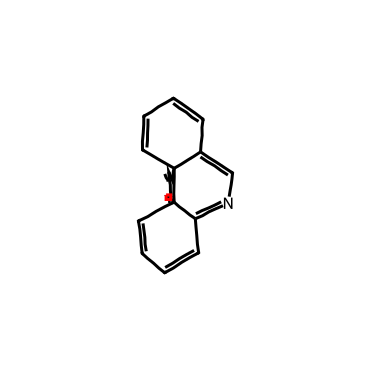 C1=CC2=CN=C3C=CC=CC34C=CC=CC24C=C1